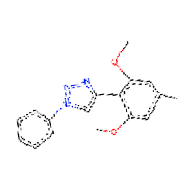 COc1cc(C)cc(OC)c1-c1cn(-c2ccccc2)nn1